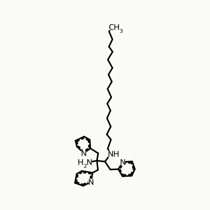 CCCCCCCCCCCCCCCCCCNC(Cc1ccccn1)C(N)(Cc1ccccn1)Cc1ccccn1